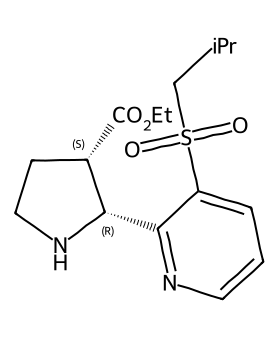 CCOC(=O)[C@H]1CCN[C@H]1c1ncccc1S(=O)(=O)CC(C)C